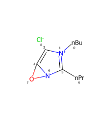 CCCC[n+]1cc2n(c1CCC)O2.[Cl-]